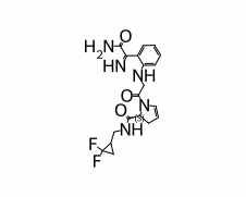 N=C(C(N)=O)c1ccccc1NCC(=O)N1C=CC[C@H]1C(=O)NCC1CC1(F)F